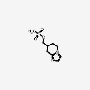 CS(=O)(=O)OCC1CCn2ccnc2C1